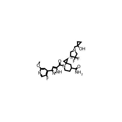 COc1cc(-c2cc(C(=O)N3CCC(C(N)=O)CC34CC4[C@@H]3CN(CC4(O)CC4)CC3(F)F)[nH]n2)c(F)cn1